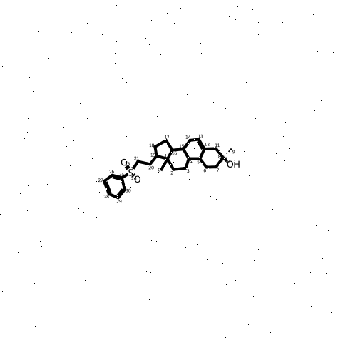 CC12CCC3C4CC[C@](C)(O)CC4=CCC3C1CCC2CCS(=O)(=O)c1ccccc1